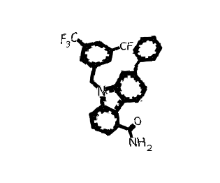 NC(=O)c1cccc2c1c1[c]cc(-c3ccccc3)cc1n2Cc1cc(C(F)(F)F)cc(C(F)(F)F)c1